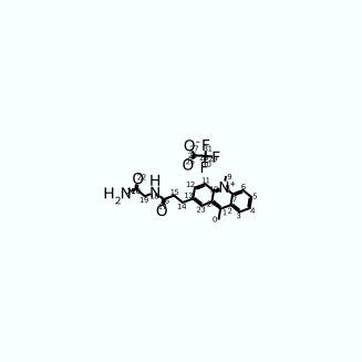 Cc1c2ccccc2[n+](C)c2ccc(CCC(=O)NCC(N)=O)cc12.O=C([O-])C(F)(F)F